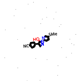 CSc1ccc(-n2ncc(-c3ccc(C#N)cc3)c2O)nc1